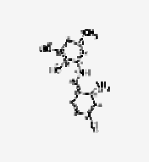 Cc1cc(N/N=C2/C=CC(Cl)=CC2N)c(O)c(C(C)(C)C)c1